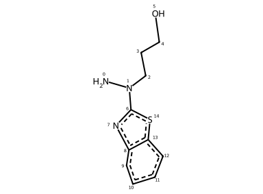 NN(CCCO)c1nc2ccccc2s1